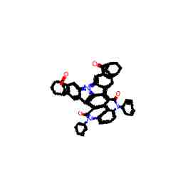 O=C1c2cc3c(cc2C2CCC1CC2)c1c2c(=O)n(-c4ccccc4)c4cccc5c4c2c(c(=O)n5-c2ccccc2)c2c4cc5c(cc4n3c12)C(=O)C1CCC5CC1